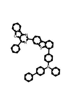 c1ccc(-c2ccc(N(c3ccccc3)c3ccc(-c4cccc5c4sc4cc(-c6nc(-c7ccccc7)c7oc8ccccc8c7n6)ccc45)cc3)cc2)cc1